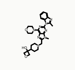 Cc1nc2ccccc2n1-c1nc(N2CCOCC2)c2nc(CN3CCC(C4(O)COC4)CC3)n(C)c2n1